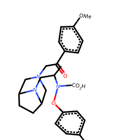 COc1ccc(C(=O)CN2CC3CCC(C2)N3CC(C)N(Oc2ccc(C#N)cc2)C(=O)O)cc1